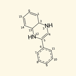 C1=CC2NC=C(c3ccccc3)NC2C=C1